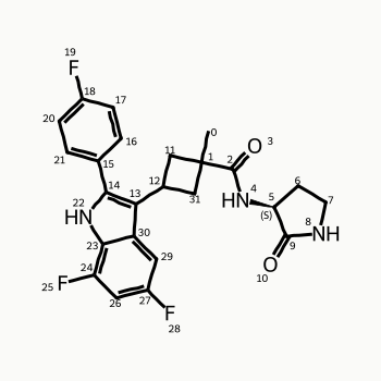 CC1(C(=O)N[C@H]2CCNC2=O)CC(c2c(-c3ccc(F)cc3)[nH]c3c(F)cc(F)cc23)C1